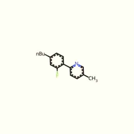 CCCCc1ccc(-c2ccc(C)cn2)c(F)c1